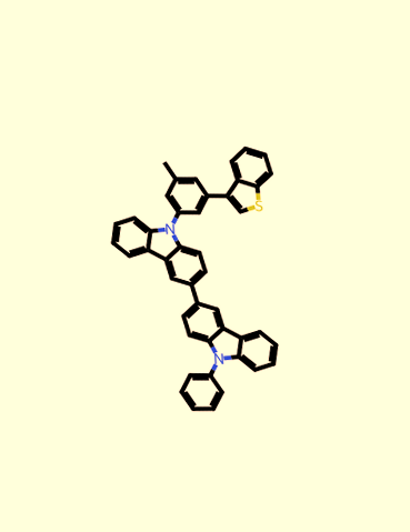 Cc1cc(-c2csc3ccccc23)cc(-n2c3ccccc3c3cc(-c4ccc5c(c4)c4ccccc4n5-c4ccccc4)ccc32)c1